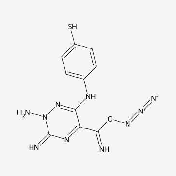 [N-]=[N+]=NOC(=N)c1nc(=N)n(N)nc1Nc1ccc(S)cc1